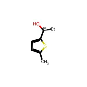 CC[C@H](O)c1ccc(C)s1